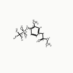 COC(=O)Cc1ccc(OS(=O)(=O)C(F)(F)F)c(C)c1